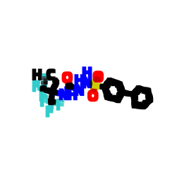 CCC(NC(=O)NNS(=O)(=O)c1ccc(-c2ccccc2)cc1)(C(F)(F)F)C(F)(F)F